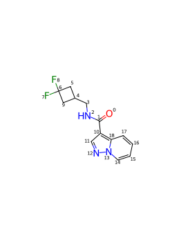 O=C(NCC1CC(F)(F)C1)c1cnn2ccccc12